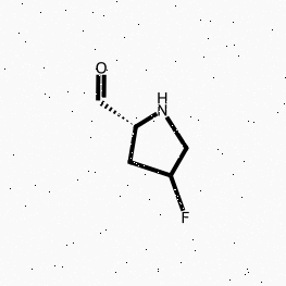 O=C[C@H]1CC(F)CN1